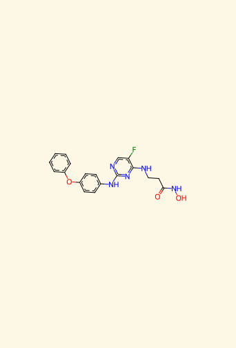 O=C(CCNc1nc(Nc2ccc(Oc3ccccc3)cc2)ncc1F)NO